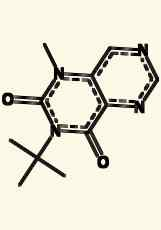 Cn1c(=O)n(C(C)(C)C)c(=O)c2ncncc21